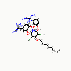 N=C(N)Nc1cccc(Oc2nc(Oc3cc(C(=N)N)ccc3O)c(F)c(OCCCCCC(=O)O)c2F)c1